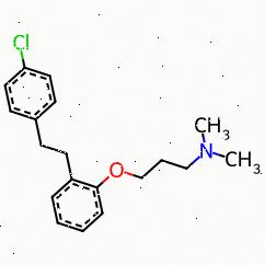 CN(C)CCCOc1ccccc1CCc1ccc(Cl)cc1